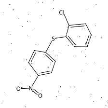 O=[N+]([O-])c1ccc(Sc2ccccc2Cl)cc1